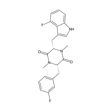 CN1C(=O)[C@H](Cc2c[nH]c3cccc(F)c23)N(C)C(=O)[C@@H]1Cc1cccc(F)c1